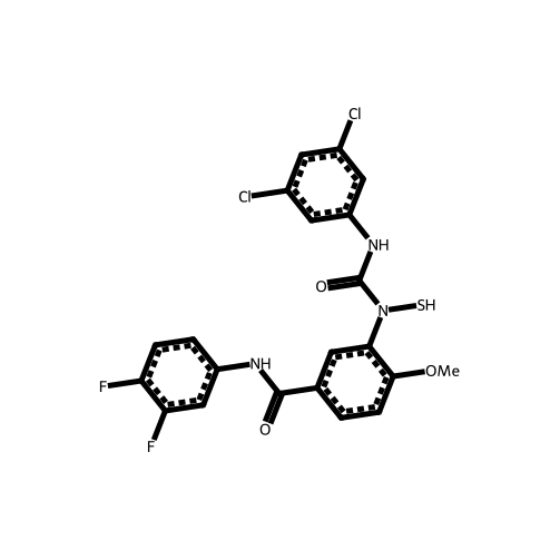 COc1ccc(C(=O)Nc2ccc(F)c(F)c2)cc1N(S)C(=O)Nc1cc(Cl)cc(Cl)c1